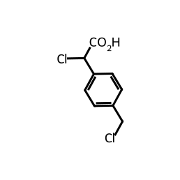 O=C(O)C(Cl)c1ccc(CCl)cc1